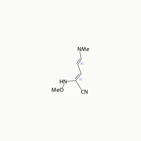 CN/C=C/C=C(/C#N)NOC